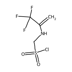 C=C(NCS(=O)(=O)Cl)C(F)(F)F